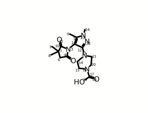 Cc1c(N2C(=O)CC(C)(C)C2=O)c(N2CCN(C(=O)O)CC2)nn1C